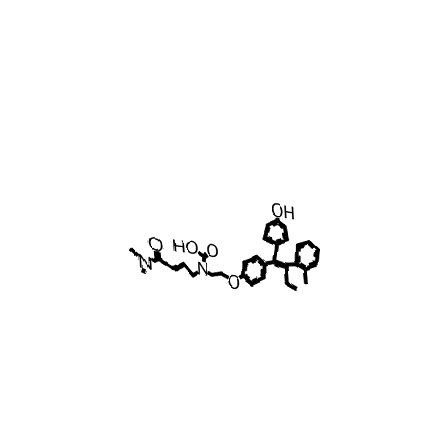 CCC(=C(c1ccc(O)cc1)c1ccc(OCCN(CC=CC(=O)N(C)C)C(=O)O)cc1)c1ccccc1C